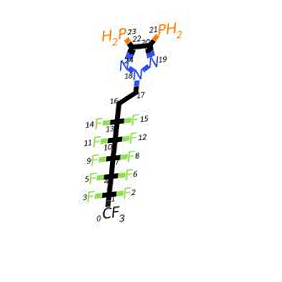 FC(F)(F)C(F)(F)C(F)(F)C(F)(F)C(F)(F)C(F)(F)CCn1nc(P)c(P)n1